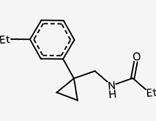 CCC(=O)NCC1(c2cccc(CC)c2)CC1